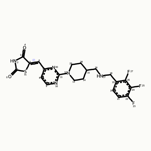 O=C1NC(=O)/C(=C/c2ccnc(N3CCC(CNCc4ccc(F)c(F)c4F)CC3)n2)S1